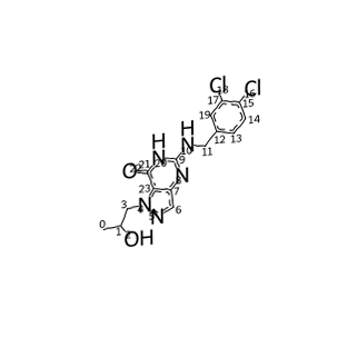 CC(O)Cn1ncc2nc(NCc3ccc(Cl)c(Cl)c3)[nH]c(=O)c21